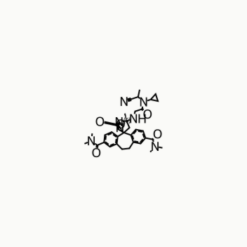 CC(C#N)N(C(=O)CN[C@]1(C)CC2(c3ccc(C(=O)N(C)C)cc3CCc3cc(C(=O)N(C)C)ccc32)c2nc(=O)on21)C1CC1